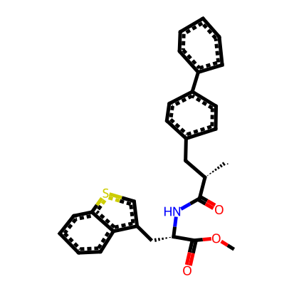 [CH2][C@@H](Cc1ccc(-c2ccccc2)cc1)C(=O)N[C@@H](Cc1csc2ccccc12)C(=O)OC